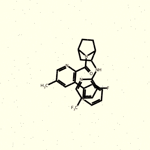 Cc1cnc(C(=O)N2C3CCC2C(Nc2ncc(C(F)(F)F)cc2F)C3)c(-c2ncccn2)c1